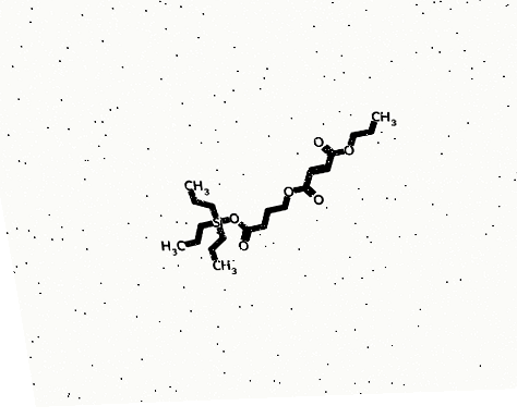 CCCOC(=O)C=CC(=O)OCCCC(=O)O[Si](CCC)(CCC)CCC